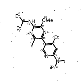 CCc1cc(N(C)C(C)C)ncc1-c1nc(OC)c(NC(CC)CC)nc1C